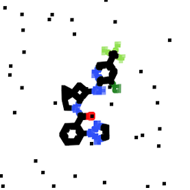 O=C(c1ccccc1-n1nccn1)N1CC2CC23CC(Nc2ncc(C(F)(F)F)cc2Cl)C13